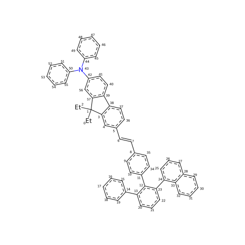 CCC1(CC)c2cc(/C=C/c3ccc(-c4c(-c5ccccc5)cccc4-c4cccc5ccccc45)cc3)ccc2-c2ccc(N(c3ccccc3)c3ccccc3)cc21